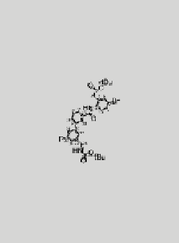 CC(C)(C)OC(=O)Cc1cc(Br)ccc1NC(=O)c1cccc(-c2cc(F)cc(CNC(=O)OC(C)(C)C)c2)c1